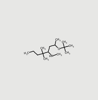 CCCC(C)(C)C(CC(C)OC(C)(C)C)NC